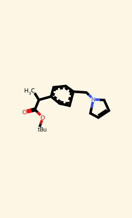 CC(C(=O)OC(C)(C)C)c1ccc(CN2CC=CC2)cc1